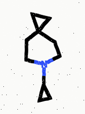 C1CC1N1CCC2(CC1)CC2